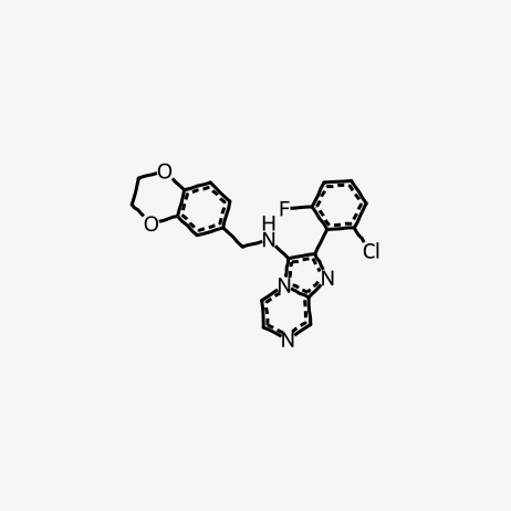 Fc1cccc(Cl)c1-c1nc2cnccn2c1NCc1ccc2c(c1)OCCO2